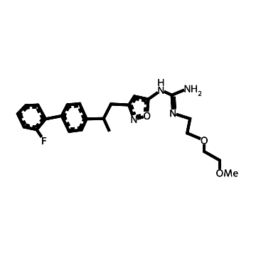 COCCOCCN=C(N)Nc1cc(CC(C)c2ccc(-c3ccccc3F)cc2)no1